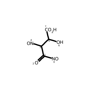 O=NC(=O)C(N=O)C(O)C(=O)O